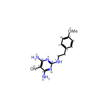 COc1ccc(CCNc2nc(N)c(N=O)c(N)n2)cc1